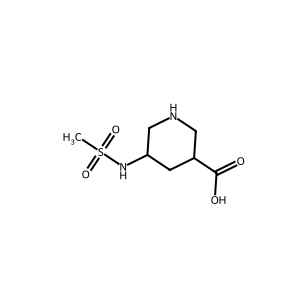 CS(=O)(=O)NC1CNCC(C(=O)O)C1